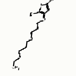 CCCCCCCCCCOc1cc(Br)sc1Br